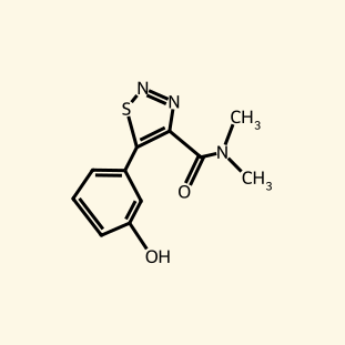 CN(C)C(=O)c1nnsc1-c1cccc(O)c1